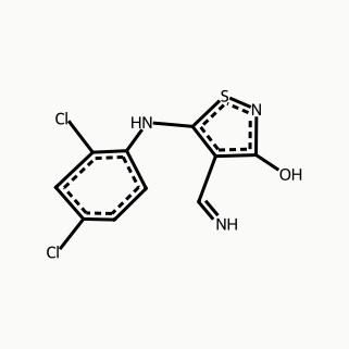 N=Cc1c(O)nsc1Nc1ccc(Cl)cc1Cl